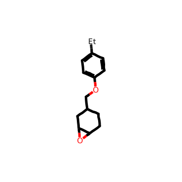 CCc1ccc(OCC2CCC3OC3C2)cc1